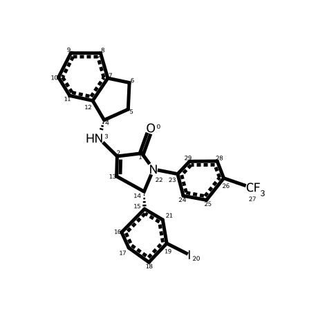 O=C1C(N[C@H]2CCc3ccccc32)=C[C@@H](c2cccc(I)c2)N1c1ccc(C(F)(F)F)cc1